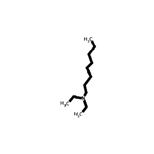 CCCCCCC[CH]N(CC)CC